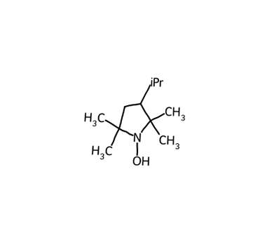 CC(C)C1CC(C)(C)N(O)C1(C)C